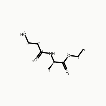 CCOC(=O)[C@@H](C)NC(=O)CCO